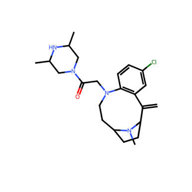 C=C1c2cc(Cl)ccc2N(CC(=O)N2CC(C)NC(C)C2)CCC2CCC1N2C